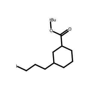 CC(C)(C)OC(=O)C1CCCC(CCCI)C1